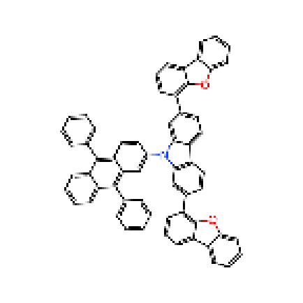 c1ccc(-c2c3ccccc3c(-c3ccccc3)c3cc(-n4c5cc(-c6cccc7c6oc6ccccc67)ccc5c5ccc(-c6cccc7c6oc6ccccc67)cc54)ccc23)cc1